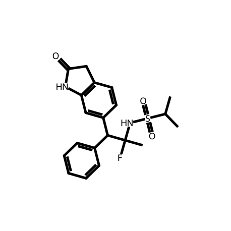 CC(C)S(=O)(=O)NC(C)(F)C(c1ccccc1)c1ccc2c(c1)NC(=O)C2